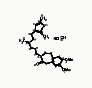 COc1cc2c(cc1OC)CC(=O)N(CCCN(C)CCc1cc(C)sc1C)CC2.Cl.Cl